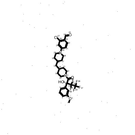 COc1cccc([C@@](O)(C(=O)N2CCC(CC3CCN(c4ccc(C=O)c(Cl)c4)CC3)CC2)C(F)(F)C(F)(F)F)c1